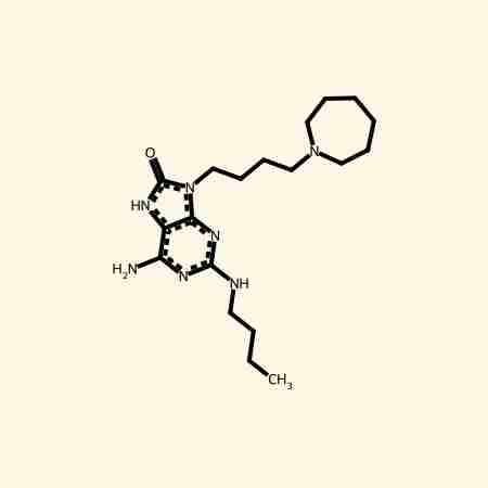 CCCCNc1nc(N)c2[nH]c(=O)n(CCCCN3CCCCCC3)c2n1